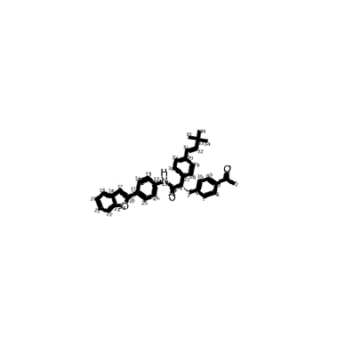 CC(=O)c1ccc(C[C@H](C(=O)Nc2ccc(-c3cc4ccccc4o3)cc2)c2ccc(/C=C/C(C)(C)C)cc2)cc1